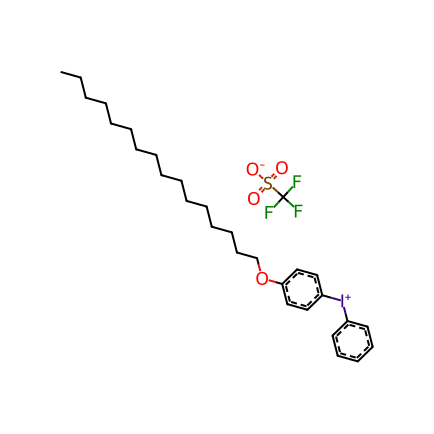 CCCCCCCCCCCCCCCCOc1ccc([I+]c2ccccc2)cc1.O=S(=O)([O-])C(F)(F)F